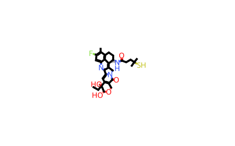 CC[C@]1(O)c2cc3n(c(=O)c2COC1O)Cc1c-3nc2cc(F)c(C)c3c2c1[C@@H](NC(=O)CCC(C)(C)S)CC3